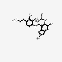 CCc1cc2cc(Cl)c(OC(F)F)c(COc3ccc(CCC(=O)O)c(C)c3C)c2o1